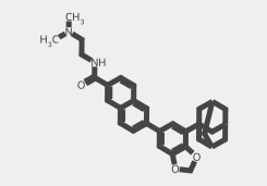 CN(C)CCNC(=O)c1ccc2cc(-c3cc4c(c(C56CC7CC(CC(C7)C5)C6)c3)OCO4)ccc2c1